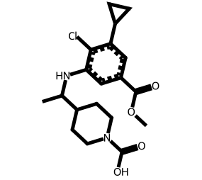 COC(=O)c1cc(NC(C)C2CCN(C(=O)O)CC2)c(Cl)c(C2CC2)c1